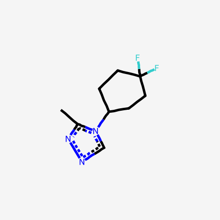 Cc1nncn1C1CCC(F)(F)CC1